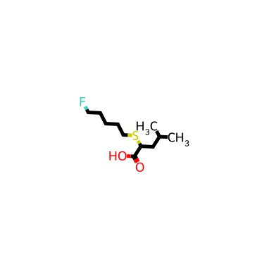 CC(C)CC(SCCCCCF)C(=O)O